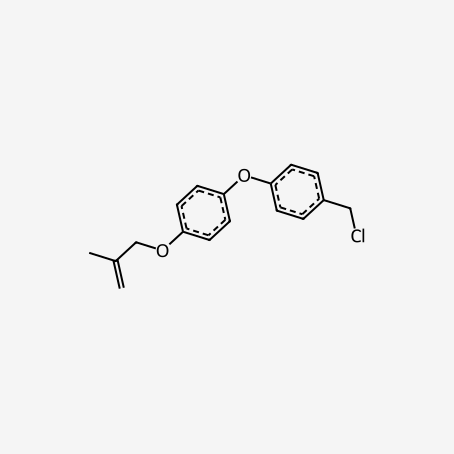 C=C(C)COc1ccc(Oc2ccc(CCl)cc2)cc1